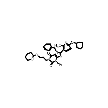 Cc1nc(OC2CCCCC2)ccc1-c1nc2c(c(=O)n(CCCOC3CCCCO3)c(=O)n2C(C)C)n1Cc1ccccc1